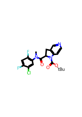 CN(C(=O)C1Cc2cnccc2N1C(=O)OC(C)(C)C)c1cc(Cl)c(F)cc1F